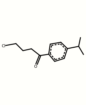 CC(C)c1ccc(C(=O)CCCCl)cc1